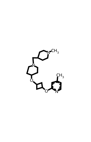 Cc1ccnc(OC2CC(OC3CCN(CC4CCN(C)CC4)CC3)C2)c1